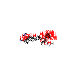 C/C=C(/C)C(=O)C[C@H]1[C@H](OC(=O)/C(C)=C\C)[C@@]2(CO)C(CC1(C)C)C1=CCC3[C@@]4(C)CC[C@H](O[C@@H]5OC(C(=O)O)[C@@H](O)[C@@H](O[C@@H]6O[C@@H](CO)C(O)[C@@H]6O)C5O[C@@H]5OC(CO)[C@@H](O)[C@@H](O)C5O)[C@](C)(CO)C4CC[C@@]3(C)[C@]1(C)[C@@H](O)[C@H]2O